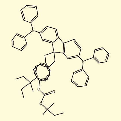 CCC(C)(C)OC(=O)Oc1ccc(CC2(Cc3ccc(C(C)(CC)CC)cc3)c3cc(N(c4ccccc4)c4ccccc4)ccc3-c3ccc(N(c4ccccc4)c4ccccc4)cc32)cc1